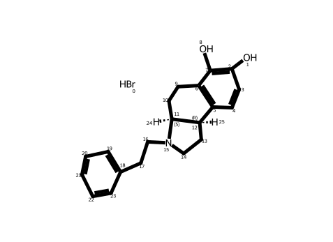 Br.Oc1ccc2c(c1O)CC[C@H]1[C@@H]2CCN1CCc1ccccc1